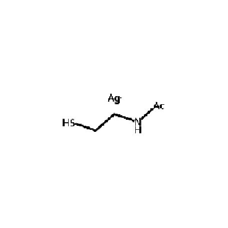 CC(=O)NCCS.[Ag]